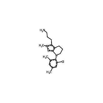 Cc1cc(C)c(N2CCCc3c2nn(C)c3CCCN)c(Cl)c1